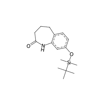 CC(C)(C)[Si](C)(C)Oc1ccc2c(c1)NC(=O)CCC2